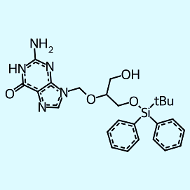 CC(C)(C)[Si](OCC(CO)OCn1cnc2c(=O)[nH]c(N)nc21)(c1ccccc1)c1ccccc1